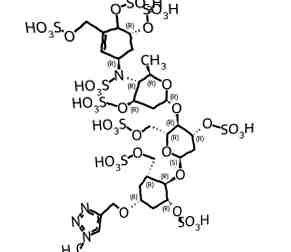 C[C@H]1O[C@H](O[C@@H]2[C@@H](COS(=O)(=O)O)O[C@H](O[C@@H]3[C@@H](COS(=O)(=O)O)C[C@@H](OCc4cn(C)nn4)C[C@H]3OS(=O)(=O)O)C[C@H]2OS(=O)(=O)O)C[C@@H](OS(=O)(=O)O)[C@@H]1N([C@H]1C=C(COS(=O)(=O)O)C(OS(=O)(=O)O)[C@H](OS(=O)(=O)O)C1)S(=O)(=O)O